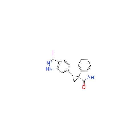 O=C1Nc2ccccc2[C@]12CC2c1ccc2c(I)n[nH]c2c1